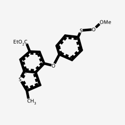 CCOC(=O)c1cc(Oc2ccc(SOOC)cc2)c2cc(C)sc2c1